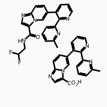 Cc1cccc(-c2ncccc2-c2ccc3ncc(C(=O)NCC(F)F)n3c2)n1.Cc1cccc(-c2ncccc2-c2ccc3ncc(C(=O)O)n3c2)n1